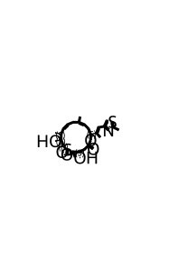 CC1=CC[C@@H](C(C)=Cc2csc(C)n2)OC(=O)C[C@H](O)C(C)(C)S(=O)(=O)[C@H](C)[C@@H](O)[C@@H](C)C=CC1